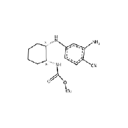 CC(C)(C)OC(=O)N[C@@H]1CCCC[C@@H]1Nc1ccc(C#N)c(N)c1